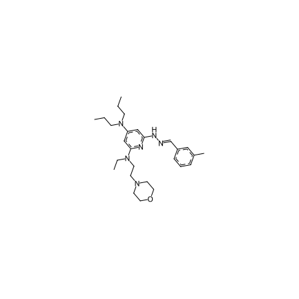 CCCN(CCC)c1cc(N/N=C/c2cccc(C)c2)nc(N(CC)CCN2CCOCC2)c1